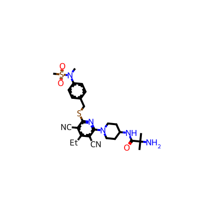 CCc1c(C#N)c(SCc2ccc(N(C)S(C)(=O)=O)cc2)nc(N2CCC(NC(=O)C(C)(C)N)CC2)c1C#N